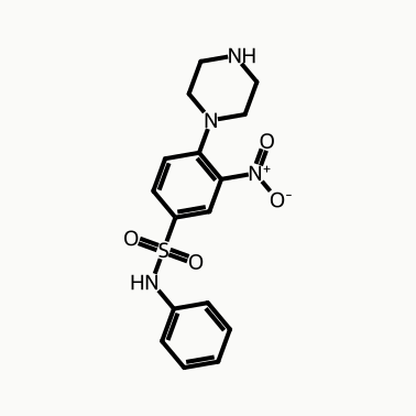 O=[N+]([O-])c1cc(S(=O)(=O)Nc2ccccc2)ccc1N1CCNCC1